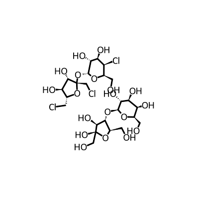 OC[C@H]1O[C@@H](O[C@@H]2[C@@H](CO)O[C@](O)(CO)[C@H]2O)[C@H](O)[C@@H](O)[C@H]1O.OC[C@H]1O[C@H](O[C@]2(CCl)O[C@H](CCl)[C@@H](O)[C@@H]2O)[C@H](O)[C@@H](O)[C@H]1Cl